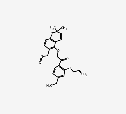 C=CCOc1cc(CC)ccc1C(=O)COc1c(CN=O)ccc2c1C=CC(C)(C)O2